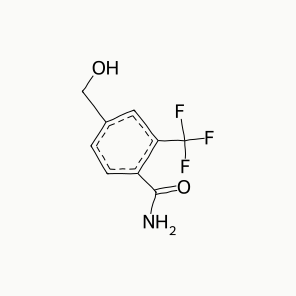 NC(=O)c1ccc(CO)cc1C(F)(F)F